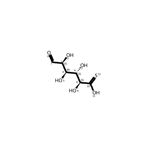 O=C[C@@H](O)[C@H](O)[C@H](O)[C@H](O)C(O)=S